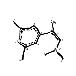 Cc1cc(/C(C#N)=C\N(C)C)cc(C)n1